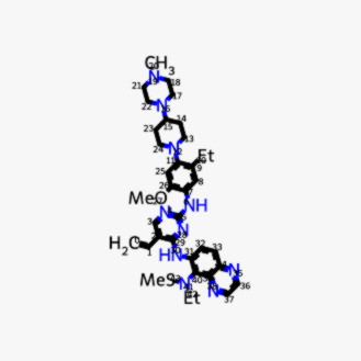 C=Cc1cnc(Nc2cc(CC)c(N3CCC(N4CCN(C)CC4)CC3)cc2OC)nc1Nc1ccc2nccnc2c1N(CC)SC